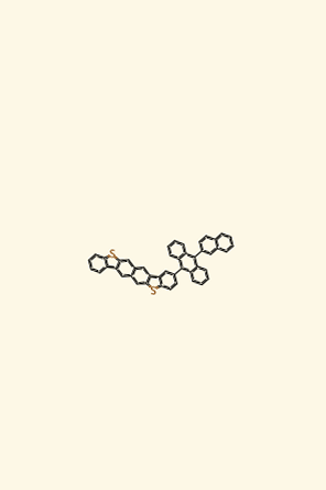 c1ccc2cc(-c3c4ccccc4c(-c4ccc5sc6cc7cc8c(cc7cc6c5c4)sc4ccccc48)c4ccccc34)ccc2c1